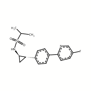 CC(C)S(=O)(=O)N[C@@H]1C[C@H]1c1ccc(-c2ccc(F)cn2)cc1